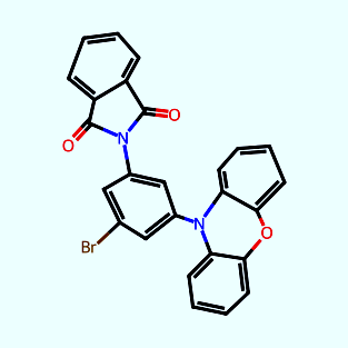 O=C1c2ccccc2C(=O)N1c1cc(Br)cc(N2c3ccccc3Oc3ccccc32)c1